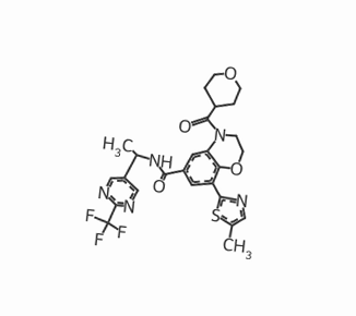 Cc1cnc(-c2cc(C(=O)NC(C)c3cnc(C(F)(F)F)nc3)cc3c2OCCN3C(=O)C2CCOCC2)s1